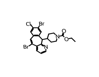 CCOC(=O)N1CCC(C2c3cc(Br)c(Cl)cc3C=C(Br)c3cccnc32)CC1